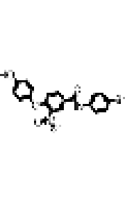 O=C(Nc1ccc(Br)cc1)c1ccc(Oc2ccc(O)cc2)c([N+](=O)[O-])c1